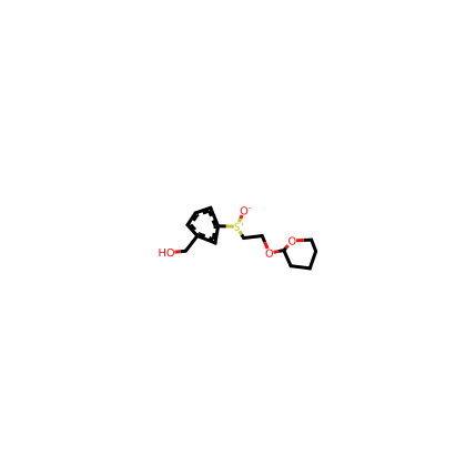 [O-][S+](CCOC1CCCCO1)c1cccc(CO)c1